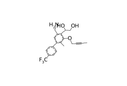 CC#CCOc1c(C)c(-c2ccc(C(F)(F)F)cc2)cc(CN)c1C(O)CO